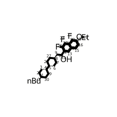 CCCC[C@H]1CC[C@H]([C@H]2CC[C@H](CC(O)c3cc4ccc(OCC)c(F)c4c(F)c3F)CC2)CC1